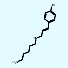 NCCCCCNC/C=C/c1ccc(O)cc1